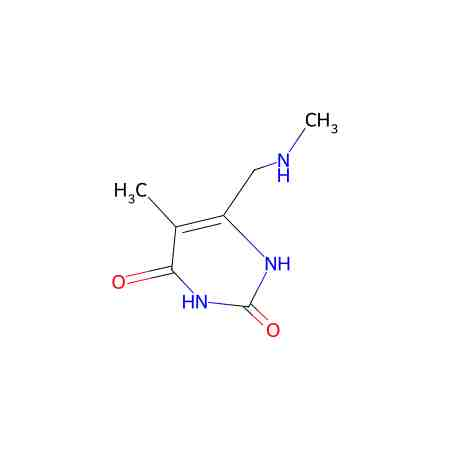 CNCc1[nH]c(=O)[nH]c(=O)c1C